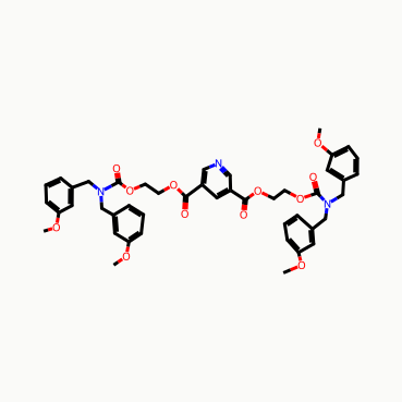 COc1cccc(CN(Cc2cccc(OC)c2)C(=O)OCCOC(=O)c2cncc(C(=O)OCCOC(=O)N(Cc3cccc(OC)c3)Cc3cccc(OC)c3)c2)c1